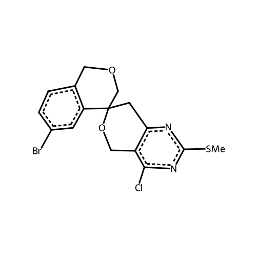 CSc1nc(Cl)c2c(n1)CC1(COCc3ccc(Br)cc31)OC2